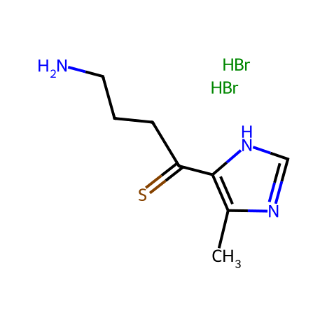 Br.Br.Cc1nc[nH]c1C(=S)CCCN